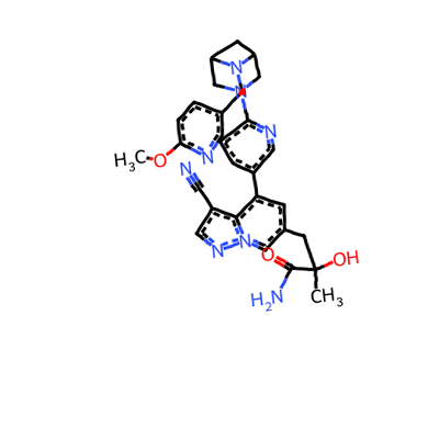 COc1ccc(CN2C3CC2CN(c2ccc(-c4cc(CC(C)(O)C(N)=O)cn5ncc(C#N)c45)cn2)C3)cn1